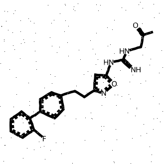 CC(=O)CNC(=N)Nc1cc(CCc2ccc(-c3ccccc3F)cc2)no1